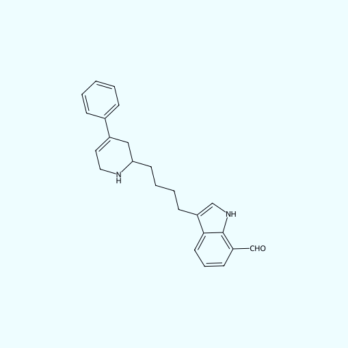 O=Cc1cccc2c(CCCCC3CC(c4ccccc4)=CCN3)c[nH]c12